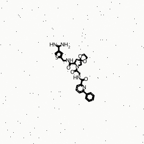 N=C(N)c1csc(CNC(=O)C2CC3(CN2C(=O)CNC(=O)c2cccc(-c4ccccc4)n2)OCCO3)c1